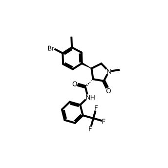 Cc1cc([C@H]2CN(C)C(=O)[C@@H]2C(=O)Nc2ccccc2C(F)(F)F)ccc1Br